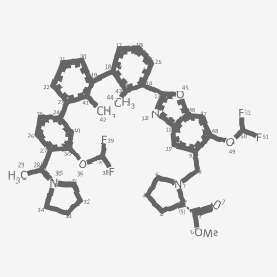 COC(=O)[C@@H]1CCCN1Cc1cc2nc(-c3cccc(-c4cccc(-c5ccc(C(C)N6CCCC6)c(OC(F)F)c5)c4C)c3C)oc2cc1OC(F)F